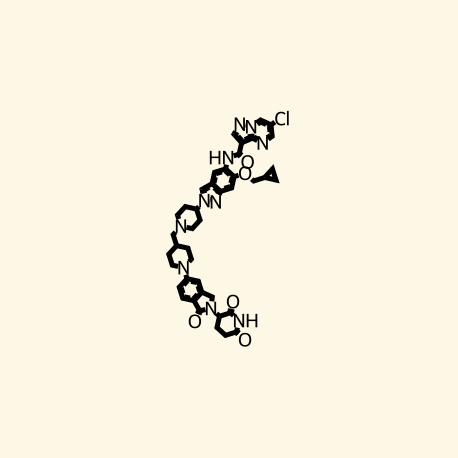 O=C1CCC(N2Cc3cc(N4CCC(CN5CCC(n6cc7cc(NC(=O)c8cnn9cc(Cl)cnc89)c(OCC8CC8)cc7n6)CC5)CC4)ccc3C2=O)C(=O)N1